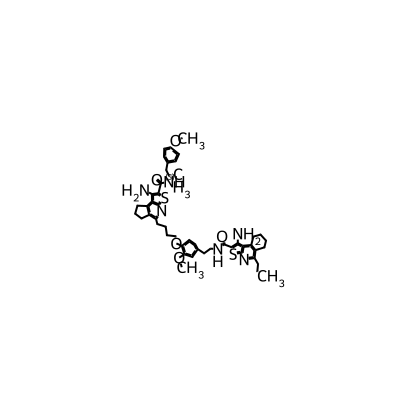 CCCc1nc2sc(C(=O)NCCc3ccc(OCCCCc4nc5sc(C(=O)N[C@@H](C)Cc6ccc(OC)cc6)c(N)c5c5c4CCC5)c(OC)c3)c(N)c2c2c1CCCC2